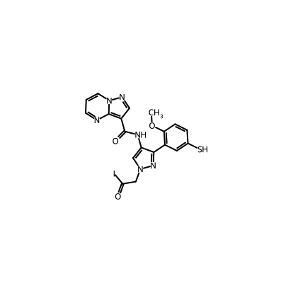 COc1ccc(S)cc1-c1nn(CC(=O)I)cc1NC(=O)c1cnn2cccnc12